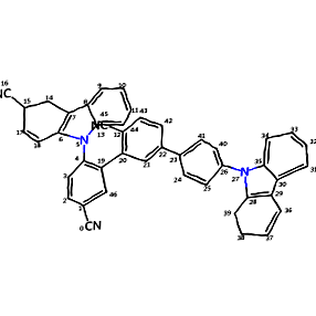 N#Cc1ccc(-n2c3c(c4ccccc42)CC(C#N)C=C3)c(-c2cc(-c3ccc(-n4c5c(c6ccccc64)C=CCC5)cc3)ccc2C#N)c1